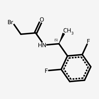 C[C@H](NC(=O)CBr)c1c(F)cccc1F